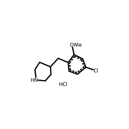 COc1cc(Cl)ccc1CC1CCNCC1.Cl